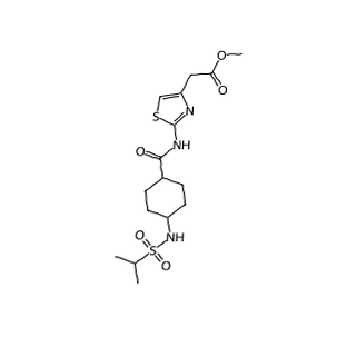 COC(=O)Cc1csc(NC(=O)C2CCC(NS(=O)(=O)C(C)C)CC2)n1